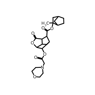 CC1(OC(=O)C2C3CC4C(OC(=O)C42)C3OC(=O)CN2CCOCC2)CC2CCC1C2